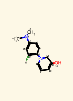 CN(C)c1ccc(N2C=CC=C(O)C2)c(F)c1